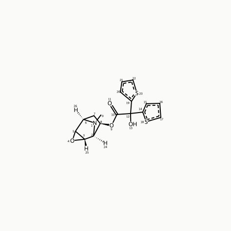 CN1[C@@H]2[C@@H]3OC3[C@H]1C[C@H]2OC(=O)C(O)(c1cccs1)c1cccs1